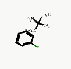 CCOC(=O)C(C)(C(=O)OCC)[N+](=O)[O-].Fc1ccccc1